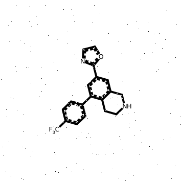 FC(F)(F)c1ccc(-c2cc(-c3ncco3)cc3c2CCNC3)cc1